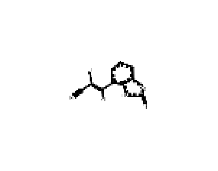 N#CC(Cl)=C(Cl)c1cccc2sc(=S)[nH]c12